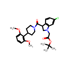 COc1cccc(OC)c1C1CCN(C(=O)C2CN(CC(=O)OC(C)(C)C)c3cc(Cl)ccc32)CC1